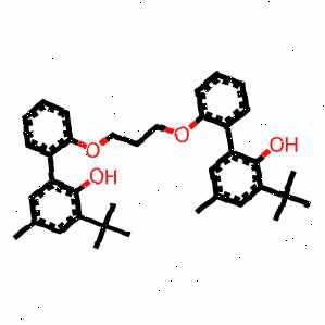 Cc1cc(-c2ccccc2OCCCOc2ccccc2-c2cc(C)cc(C(C)(C)C)c2O)c(O)c(C(C)(C)C)c1